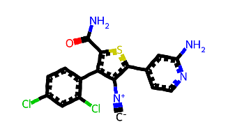 [C-]#[N+]c1c(-c2ccnc(N)c2)sc(C(N)=O)c1-c1ccc(Cl)cc1Cl